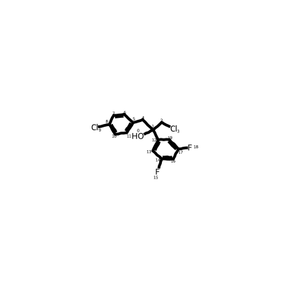 OC(CCl)(Cc1ccc(Cl)cc1)c1cc(F)cc(F)c1